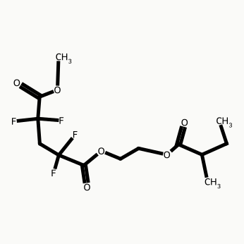 CCC(C)C(=O)OCCOC(=O)C(F)(F)CC(F)(F)C(=O)OC